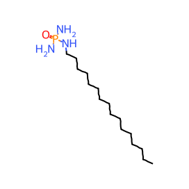 CCCCCCCCCCCCCCCCNP(N)(N)=O